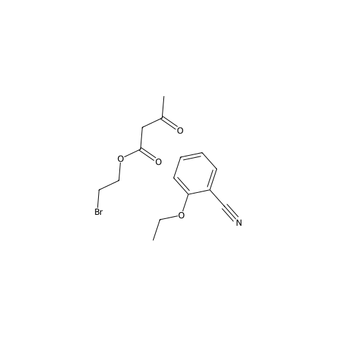 CC(=O)CC(=O)OCCBr.CCOc1ccccc1C#N